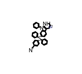 C/C=C\c1c(N)n(-c2ccccc2)c2cc(S(c3ccccc3)(c3ccccc3)c3ccc(C#N)cc3)ccc12